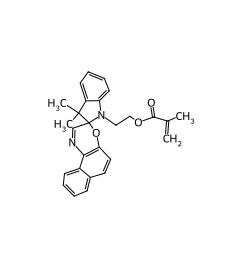 C=C(C)C(=O)OCCN1c2ccccc2C(C)(C)C12C=Nc1c(ccc3ccccc13)O2